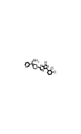 NCC1(c2cccnc2)C2CCN(c3cnc4c(-c5cccc(Cl)c5Cl)n[nH]c4n3)CC21